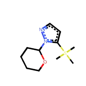 CS(C)(C)c1ccnn1C1CCCCO1